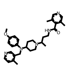 COc1ccc(N(Cc2cnccc2C)C2CCN(C(C)CCNC(=O)c3c(C)cncc3C)CC2)cc1